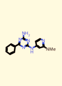 CNc1cc(Nc2nc(N)nc(-c3ccccc3)n2)ccn1